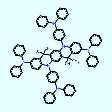 CC1(C)c2cc(N(c3ccccc3)c3ccccc3)ccc2N(c2ccc(N(c3ccccc3)c3ccccc3)cc2)c2cc3c(cc21)N(c1ccc(N(c2ccccc2)c2ccccc2)cc1)c1ccc(N(c2ccccc2)c2ccccc2)cc1C3(C)C